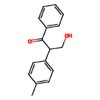 Cc1ccc(C(CO)C(=O)c2ccccc2)cc1